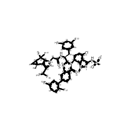 Cn1nc(NS(C)(=O)=O)c2c(Cl)ccc(-n3c([C@H](Cc4cc(F)cc(F)c4)NC(=O)Cn4nc(C(F)F)c5c4C(F)(F)C4C[C@@]54C)nc4cc(-c5cc(F)ccc5F)ccc4c3=O)c21